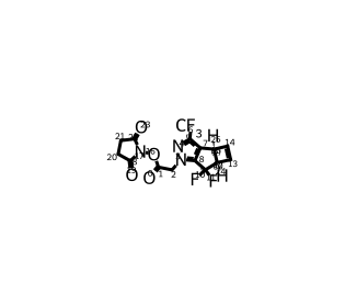 O=C(Cn1nc(C(F)(F)F)c2c1C(F)(F)[C@@H]1C=C[C@H]21)ON1C(=O)CCC1=O